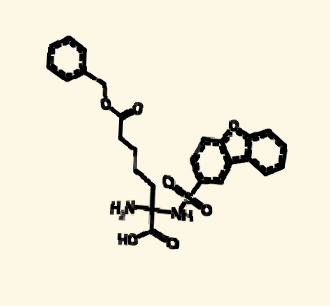 NC(CCCCC(=O)OCc1ccccc1)(NS(=O)(=O)c1ccc2oc3ccccc3c2c1)C(=O)O